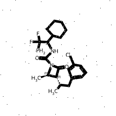 CC(Cc1cccc(Cl)c1)[C@H]1C(=O)N(C(=O)NC(C2CCCCC2)C(F)(F)P)[C@@H]1C